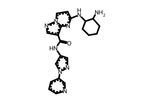 NC1CCCCC1Nc1ccn2ncc(C(=O)Nc3cnn(-c4cccnc4)c3)c2n1